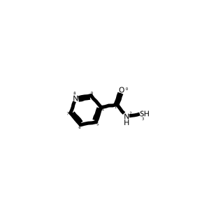 O=C(NS)c1cccnc1